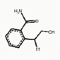 CCC(CO)c1ccccc1C(N)=O